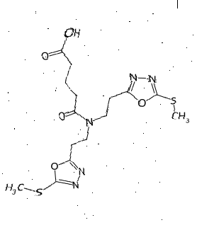 CSc1nnc(CCN(CCc2nnc(SC)o2)C(=O)CCCC(=O)O)o1